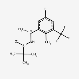 Cc1c([C@@H](C)N[S+]([O-])C(C)(C)C)cc(F)cc1C(F)(F)F